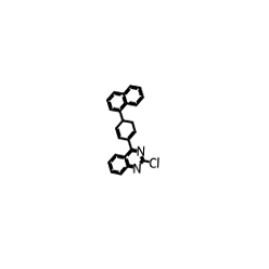 Clc1nc(C2=CCC(c3cccc4ccccc34)C=C2)c2ccccc2n1